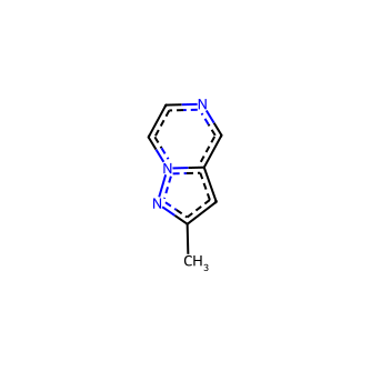 Cc1cc2cnccn2n1